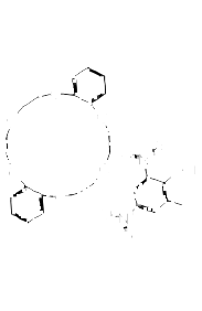 Cc1cc([N+](=O)[O-])cc([N+](=O)[O-])c1O.c1ccc2c(c1)OCCOCCOc1ccccc1OCCOCCO2